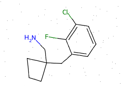 NCC1(Cc2cccc(Cl)c2F)CCC1